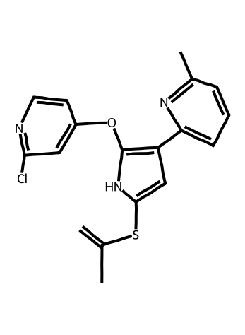 C=C(C)Sc1cc(-c2cccc(C)n2)c(Oc2ccnc(Cl)c2)[nH]1